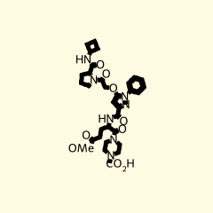 COC(=O)CCC(NC(=O)c1cc(OCC(=O)N2CCCC2C(=O)NC2CCC2)n(-c2ccccc2)n1)C(=O)N1CCN(C(=O)O)CC1